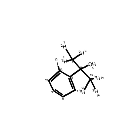 [2H]C([2H])([2H])C(O)(c1ccccc1I)C([2H])([2H])[2H]